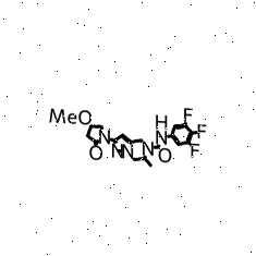 CO[C@@H]1CC(=O)N(c2cc3n(n2)CC(C)N(C(=O)Nc2cc(F)c(F)c(F)c2)C3)C1